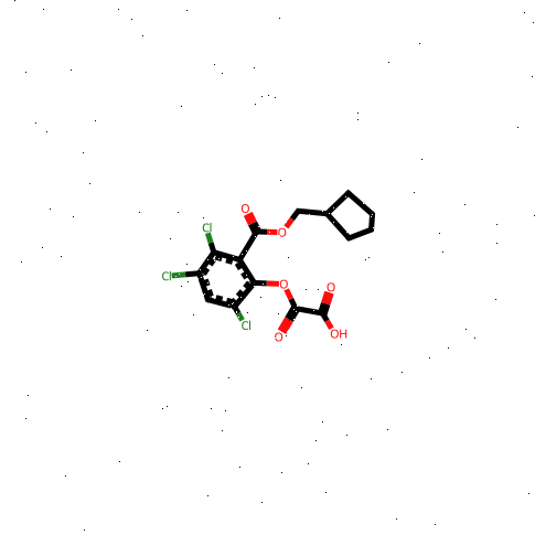 O=C(O)C(=O)Oc1c(Cl)cc(Cl)c(Cl)c1C(=O)OCC1CCCC1